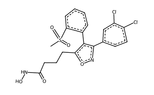 CS(=O)(=O)c1ccccc1-c1c(-c2ccc(Cl)c(Cl)c2)noc1CCCC(=O)NO